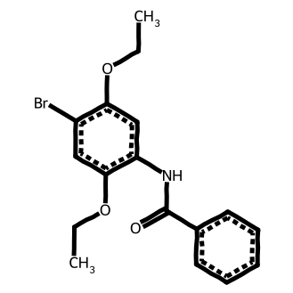 CCOc1cc(NC(=O)c2ccccc2)c(OCC)cc1Br